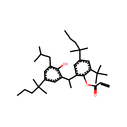 C=CC(=O)Oc1c(C(C)c2cc(C(C)(C)CCC)cc(CC(C)C)c2O)cc(C(C)(C)CCC)cc1C(C)(C)C